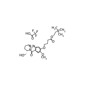 COc1cc(C(=O)N2CCCC[C@H]2CO)c(N)cc1OCCCC(=O)OCC[Si](C)(C)C.O=C(O)C(F)(F)F